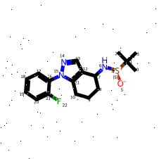 CC(C)(C)[S@@+]([O-])NC1CCCc2c1cnn2-c1ccccc1F